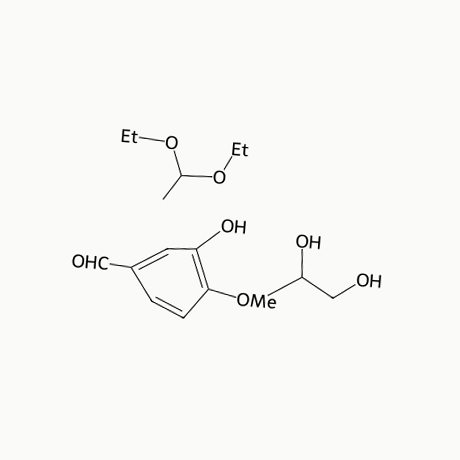 CC(O)CO.CCOC(C)OCC.COc1ccc(C=O)cc1O